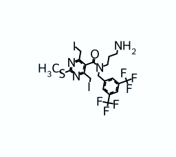 CSc1nc(CI)c(C(=O)N(CCCN)Cc2cc(C(F)(F)F)cc(C(F)(F)F)c2)c(CI)n1